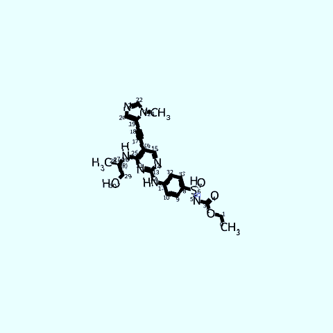 CCOC(=O)/N=[SH](=O)/c1ccc(Nc2ncc(C#Cc3cncn3C)c(N[C@H](C)CO)n2)cc1